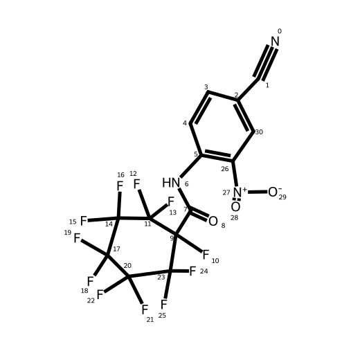 N#Cc1ccc(NC(=O)C2(F)C(F)(F)C(F)(F)C(F)(F)C(F)(F)C2(F)F)c([N+](=O)[O-])c1